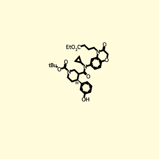 CCOC(=O)CCCN1C(=O)COc2ccc(N(C(=O)C3CN(C(=O)OC(C)(C)C)CC[C@@H]3c3cccc(O)c3)C3CC3)cc21